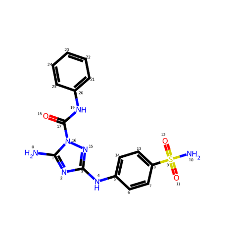 Nc1nc(Nc2ccc(S(N)(=O)=O)cc2)nn1C(=O)Nc1ccccc1